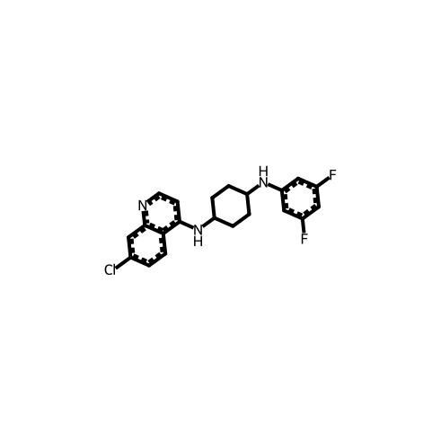 Fc1cc(F)cc(NC2CCC(Nc3ccnc4cc(Cl)ccc34)CC2)c1